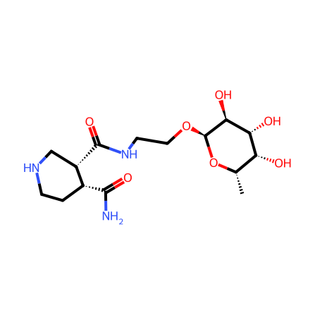 C[C@@H]1O[C@@H](OCCNC(=O)[C@H]2CNCC[C@H]2C(N)=O)[C@@H](O)[C@H](O)[C@@H]1O